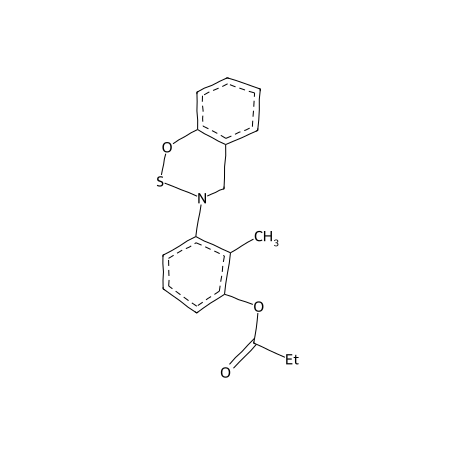 CCC(=O)Oc1cccc(N2Cc3ccccc3OS2)c1C